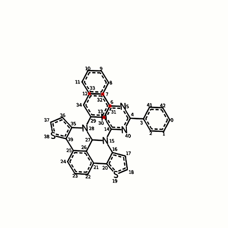 c1ccc(-c2nc(-c3ccccc3)nc(N3c4ccsc4-c4cccc5c4C3N(c3ccccc3)c3ccsc3-5)n2)cc1